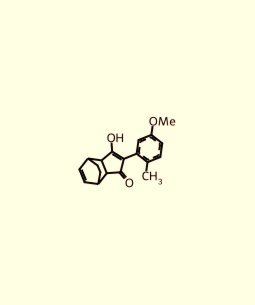 COc1ccc(C)c(C2=C(O)C3C4C=CC(CC4)C3C2=O)c1